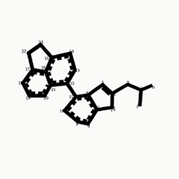 CC(C)CC1=Cc2c(cccc2-c2ccc3c4c(cccc24)CC3)[CH]1